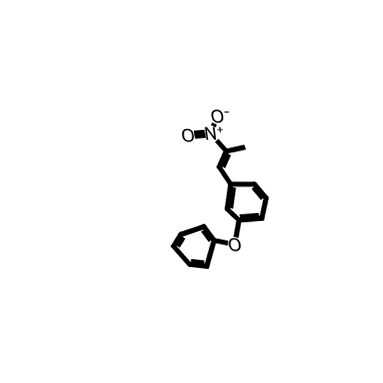 C/C(=C\c1cccc(Oc2ccccc2)c1)[N+](=O)[O-]